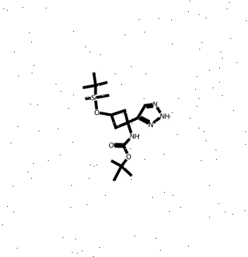 CC(C)(C)OC(=O)NC1(c2cn[nH]n2)CC(O[Si](C)(C)C(C)(C)C)C1